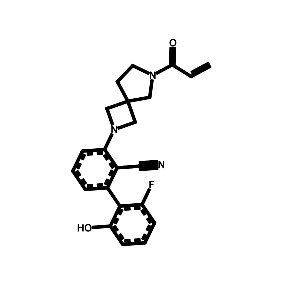 C=CC(=O)N1CCC2(C1)CN(c1cccc(-c3c(O)cccc3F)c1C#N)C2